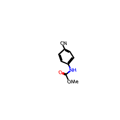 COC(=O)Nc1ccc(C#N)cc1